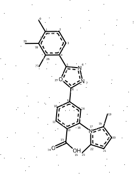 Cc1ccc(-c2nnc(-c3ccc(C(=O)O)c(-n4c(C)ccc4C)c3)o2)c(C)c1C